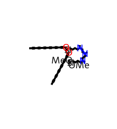 CC#CC#CC#CC#CC#CC#CO[Si](C)(CCCCN(C)CCN(C)CCN(C)CCCC[Si](C)(OC)OC)OC#CC#CC#CC#CC#CC#CC